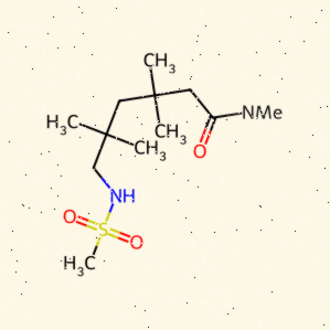 CNC(=O)CC(C)(C)CC(C)(C)CNS(C)(=O)=O